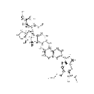 CCCCC(=O)N(Cc1ncc(-c2ccc3c(c2)COc2cc4c(ccc5nc([C@]6(C)CCCN6C(=O)[C@@H](NC(=O)OC)[C@H](C)CC)[nH]c54)cc2-3)[nH]1)[C@@H](C)CC